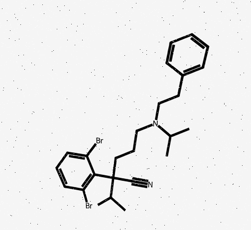 CC(C)N(CCCC(C#N)(c1c(Br)cccc1Br)C(C)C)CCc1ccccc1